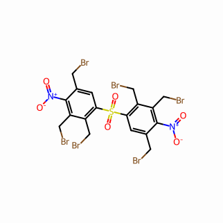 O=[N+]([O-])c1c(CBr)cc(S(=O)(=O)c2cc(CBr)c([N+](=O)[O-])c(CBr)c2CBr)c(CBr)c1CBr